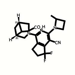 CC1CCN1c1nc(N2C[C@H]3C[C@@H](C2)C3CC(=O)O)c2c(c1C#N)C(F)(F)CC2